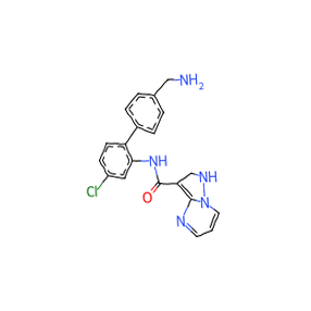 NCc1ccc(-c2ccc(Cl)cc2NC(=O)C2=C3N=CC=CN3NC2)cc1